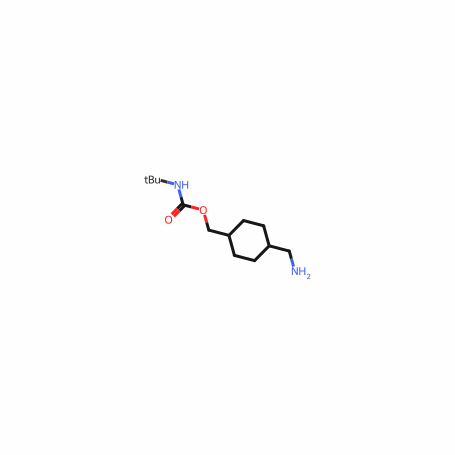 CC(C)(C)NC(=O)OCC1CCC(CN)CC1